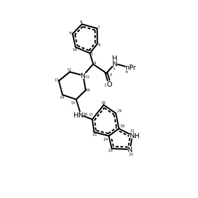 CCCNC(=O)C(c1ccccc1)N1CCCC(Nc2ccc3[nH]ncc3c2)C1